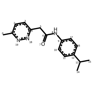 Cc1ccc(CC(=O)Nc2ccc(C(C)C)cc2)nn1